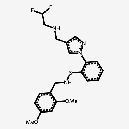 COc1ccc(CNSc2ccccc2-n2cc(CNCC(F)F)cn2)c(OC)c1